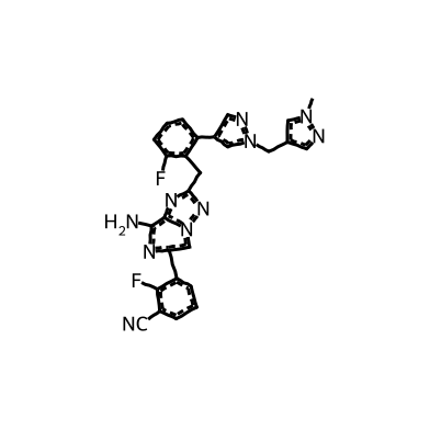 Cn1cc(Cn2cc(-c3cccc(F)c3Cc3nc4c(N)nc(-c5cccc(C#N)c5F)cn4n3)cn2)cn1